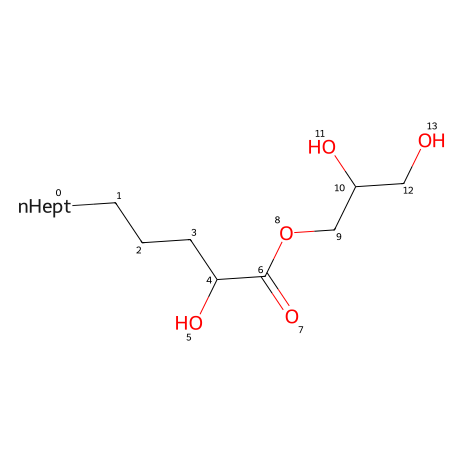 CCCCCCCCCCC(O)C(=O)OCC(O)CO